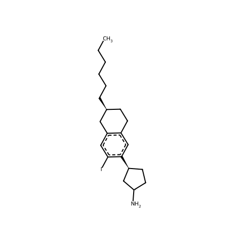 CCCCCC[C@H]1CCc2cc([C@H]3CC[C](N)C3)c(I)cc2C1